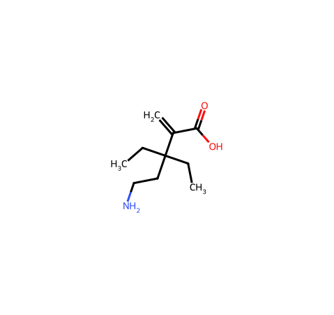 C=C(C(=O)O)C(CC)(CC)CCN